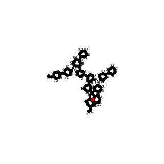 C=Cc1ccc(CC2(c3ccccc3)c3ccccc3-c3ccc(N(c4ccc(-c5ccccc5)cc4)c4ccc(-c5ccc6c(c5)c5cc(-c7ccccc7)ccc5n6-c5ccc(-c6ccc(C=C)cc6)cc5)cc4)cc32)cc1